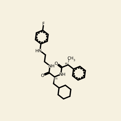 C[C@@H](C(=O)N[C@@H](CC1CCCCC1)C(=O)NCCNc1ccc(F)cc1)c1ccccc1